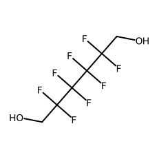 OCC(F)(F)C(F)(F)C(F)(F)C(F)(F)CO